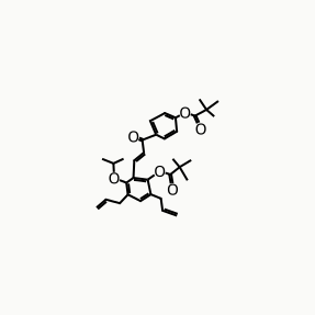 C=CCc1cc(CC=C)c(OC(C)C)c(C=CC(=O)c2ccc(OC(=O)C(C)(C)C)cc2)c1OC(=O)C(C)(C)C